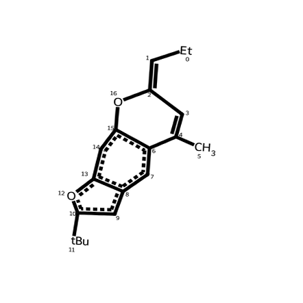 CCC=C1C=C(C)c2cc3cc(C(C)(C)C)oc3cc2O1